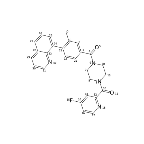 Cc1cc(C(=O)N2CCN(C(=O)c3cc(F)ccn3)CC2)ccc1-c1cccc2cccnc12